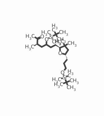 CC(=O)[C@H](C)CC(CC[C@@H]1O[C@@H](CCCO[Si](C)(C)C(C)(C)C)CC1(C)C)O[Si](C)(C)C(C)(C)C